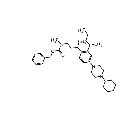 CCC[C@@H](C)c1cc(N2CCN(C3CCCCC3)CC2)ccc1[C@H](C)CCN(C)C(=O)OCc1ccccc1